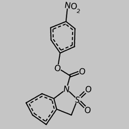 O=C(Oc1ccc([N+](=O)[O-])cc1)N1c2ccccc2CS1(=O)=O